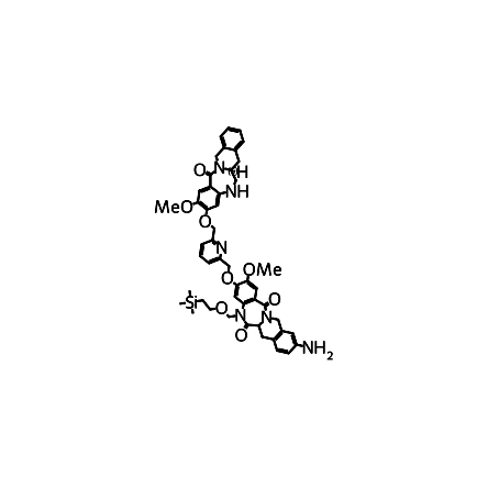 COc1cc2c(cc1OCc1cccc(COc3cc4c(cc3OC)C(=O)N3Cc5cc(N)ccc5CC3C(=O)N4COCC[Si](C)(C)C)n1)NC[C@@H]1Cc3ccccc3CN1C2=O